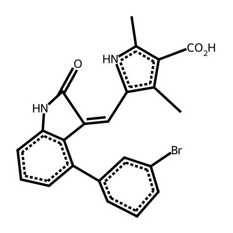 Cc1[nH]c(C=C2C(=O)Nc3cccc(-c4cccc(Br)c4)c32)c(C)c1C(=O)O